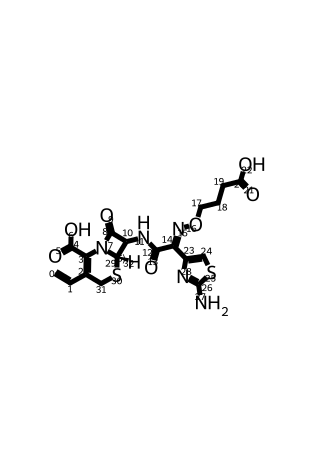 C=CC1=C(C(=O)O)N2C(=O)C(NC(=O)C(=NOCCCC(=O)O)c3csc(N)n3)[C@@H]2SC1